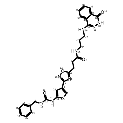 O=C(CCc1nc(-c2csc(NC(=O)OCc3ccccc3)c2)no1)NCCCNc1n[nH]c(=O)c2ccccc12